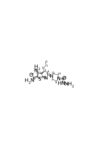 CCCc1cc(N2CCN(C(=O)NN)CC2)nc2sc(C(N)=O)c(N)c12